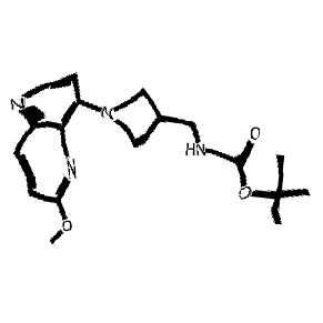 COc1ccc2nccc(N3CC(CNC(=O)OC(C)(C)C)C3)c2n1